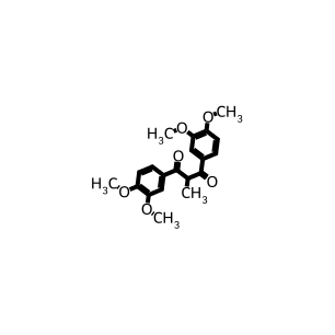 COc1ccc(C(=O)C(C)C(=O)c2ccc(OC)c(OC)c2)cc1OC